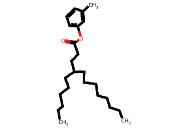 CCCCCCCCC(CCCCCC)CCC(=O)Oc1cccc(C)c1